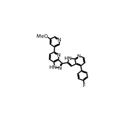 COc1cncc(-c2ccc3[nH]nc(-c4cc5c(-c6ccc(F)cc6)ccnc5[nH]4)c3n2)c1